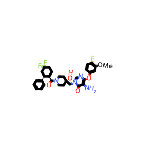 COc1cc(Oc2ncn(CC3(O)CCN(C(=O)[C@@H]4CCC(F)(F)C[C@H]4c4ccccc4)CC3)c(=O)c2N)ccc1F